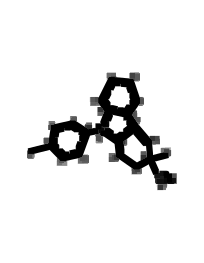 Cc1ccc(-n2c3c(c4ccccc42)=CC(C)(C(C)(C)C)CC=3)cc1